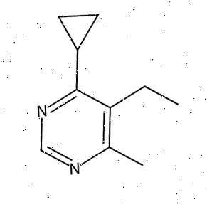 CCc1c(C)ncnc1C1CC1